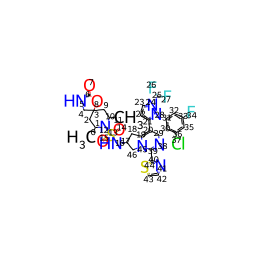 CC1CC2(CNC(=O)O2)C[C@@H](C)N1S(=O)(=O)N[C@H]1CC2=C(c3ccn(C(F)F)n3)[C@H](c3ccc(F)cc3Cl)N=C(c3nccs3)N2C1